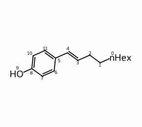 CCCCCCCCC=Cc1ccc(O)cc1